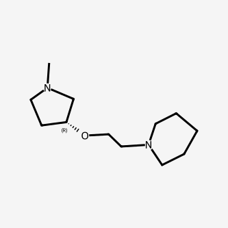 CN1CC[C@@H](OCCN2CCCCC2)C1